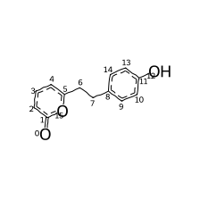 O=c1cccc(CCc2ccc(O)cc2)o1